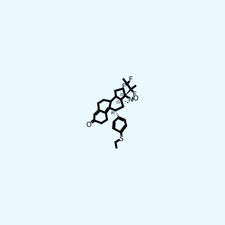 CCSc1ccc([C@H]2C[C@@]3(C)C(CC[C@@]3(N=O)C(C)(F)C(C)(F)F)C3CCC4=CC(=O)CCC4=C32)cc1